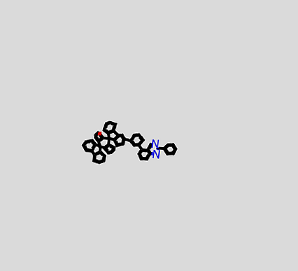 c1ccc(-c2ncc3c(-c4cccc(-c5ccc6c(c5)-c5ccccc5C65c6ccccc6C6(c7ccccc7-c7ccccc76)c6ccccc65)c4)cccc3n2)cc1